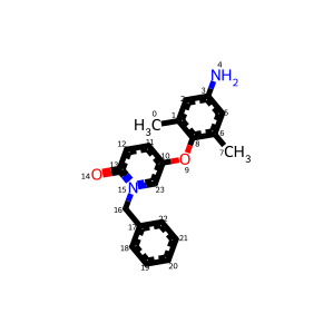 Cc1cc(N)cc(C)c1Oc1ccc(=O)n(Cc2ccccc2)c1